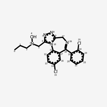 CCCN(O)Cc1nnc2n1-c1ccc(Cl)cc1C(c1ccccc1Cl)=NC2